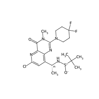 C[C@@H](N[S+]([O-])C(C)(C)C)c1cc(Cl)nc2c(=O)n(C)c(N3CCC(F)(F)CC3)nc12